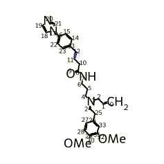 C=CCN(CCCNC(=O)C/C=C/c1ccc(-n2ccnc2)cc1)CCc1ccc(OC)c(OC)c1